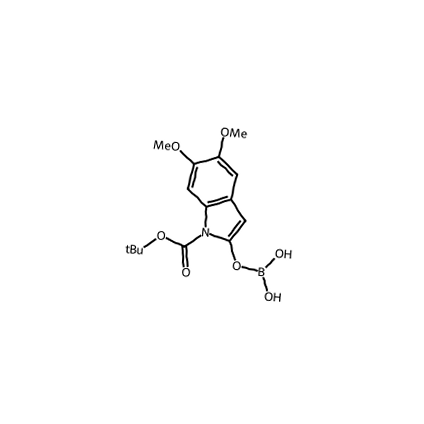 COc1cc2cc(OB(O)O)n(C(=O)OC(C)(C)C)c2cc1OC